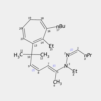 CCC/C=N\N(CC)/C(C)=C/C=C\C(C)(C)C1=C(CC)C(CCCC)=CCC=C1